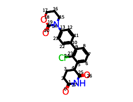 O=C1CCC(c2cccc(-c3ccc(N4CCCOC4=O)cc3)c2Cl)C(=O)N1